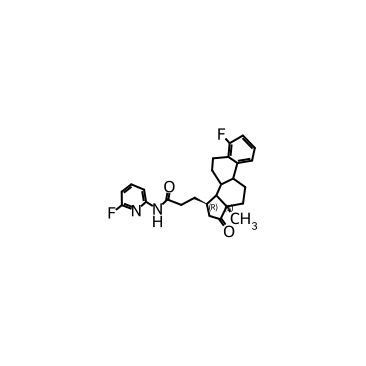 C[C@]12CCC3c4cccc(F)c4CCC3C1[C@H](CCC(=O)Nc1cccc(F)n1)CC2=O